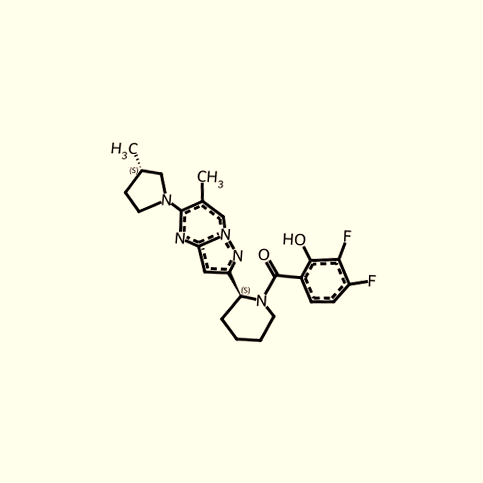 Cc1cn2nc([C@@H]3CCCCN3C(=O)c3ccc(F)c(F)c3O)cc2nc1N1CC[C@H](C)C1